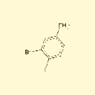 [CH2]c1ccc(I)c(Br)c1